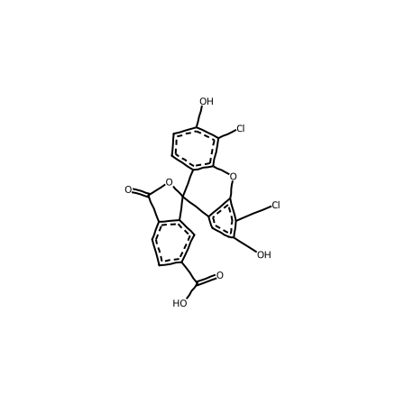 O=C(O)c1ccc2c(c1)C1(OC2=O)c2ccc(O)c(Cl)c2Oc2c1ccc(O)c2Cl